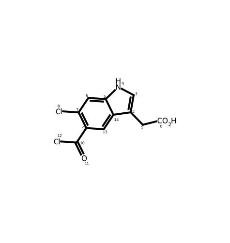 O=C(O)Cc1c[nH]c2cc(Cl)c(C(=O)Cl)cc12